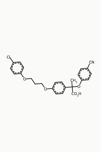 CC(Oc1ccc(C#N)cc1)(C(=O)O)c1ccc(OCCCOc2ccc(Cl)cc2)cc1